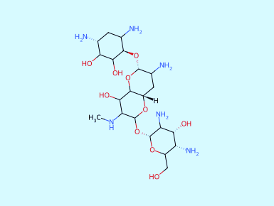 CNC1C(O[C@H]2OC(CO)[C@@H](N)[C@@H](O)C2N)O[C@H]2CC(N)[C@@H](O[C@@H]3C(N)C[C@@H](N)C(O)C3O)OC2C1O